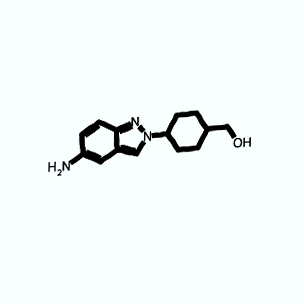 Nc1ccc2nn(C3CCC(CO)CC3)cc2c1